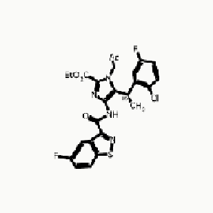 CCOC(=O)c1nc(NC(=O)c2nsc3ccc(F)cc23)c([C@H](C)c2cc(F)ccc2Cl)n1CC(C)=O